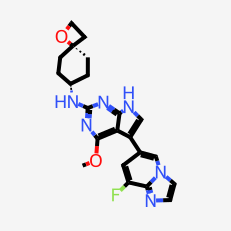 COc1nc(N[C@H]2CC[C@]3(CCO3)CC2)nc2[nH]cc(-c3cc(F)c4nccn4c3)c12